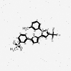 Cc1cccc(-n2nc(C(F)(F)F)cc2-c2ccc(-c3cccc(S(C)(=O)=O)c3)s2)c1